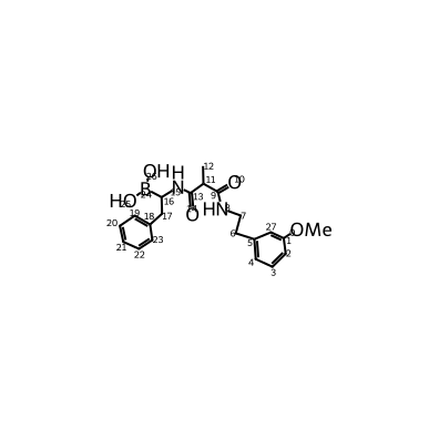 COc1cccc(CCNC(=O)C(C)C(=O)NC(Cc2ccccc2)B(O)O)c1